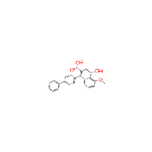 COc1cccc2c(-c3ccc(-c4ccccc4)cc3)c(C(=O)O)cc(O)c12